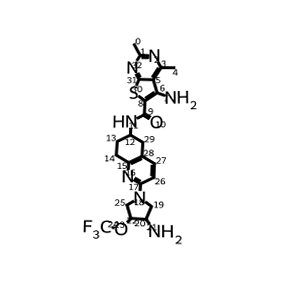 Cc1nc(C)c2c(N)c(C(=O)NC3CCc4nc(N5CC(N)C(OC(F)(F)F)C5)ccc4C3)sc2n1